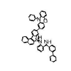 N=C(c1cccc(-c2ccccc2)c1)c1ccccc1Nn1c2cc(-c3ccc4c(c3)N(c3ccccc3)c3ccccc3O4)ccc2c2c3ccccc3ccc21